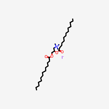 CCCCCCCCCCCCCC(=O)OCC(C[N+](C)(C)C)OC(=O)CCCCCCCCCCCCC.[I-]